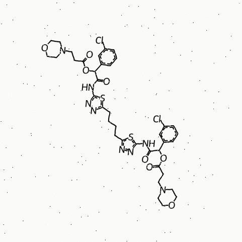 O=C(CCN1CCOCC1)OC(C(=O)Nc1nnc(CCCCc2nnc(NC(=O)C(OC(=O)CCN3CCOCC3)c3cccc(Cl)c3)s2)s1)c1cccc(Cl)c1